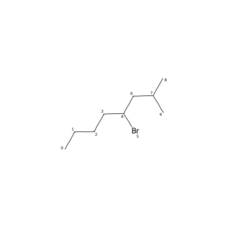 CCCCC(Br)CC(C)C